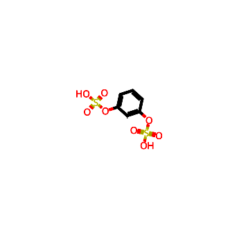 O=S(=O)(O)Oc1[c]c(OS(=O)(=O)O)ccc1